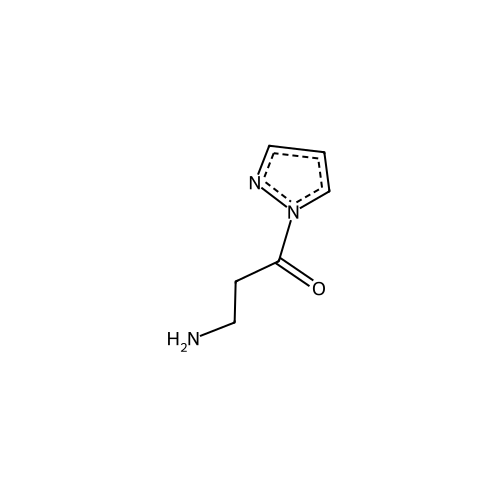 NCCC(=O)n1cccn1